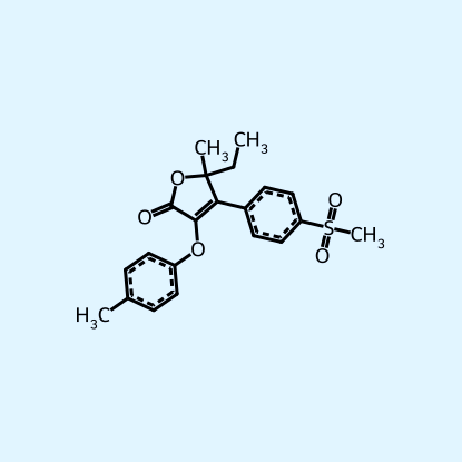 CCC1(C)OC(=O)C(Oc2ccc(C)cc2)=C1c1ccc(S(C)(=O)=O)cc1